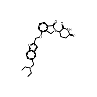 CCN(CC)Cc1ccc2oc(COc3cccc4c3CN(C3CCC(=O)NC3=O)C4=O)cc2c1